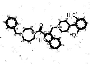 Cc1cccc(C)c1C1CCN(Cc2c(C(=O)N3CCCN(Cc4ccccc4)CC3)[nH]c3ccccc23)CC1